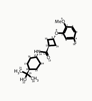 COc1ccc(F)cc1O[C@H]1C[C@H](C(=O)N[C@H]2CC[C@H](C(C)(C)O)CC2)C1